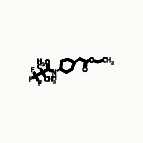 CCOC(=O)C[C@H]1CC[C@H](NC(=O)C(C)(C)C(F)(F)F)CC1